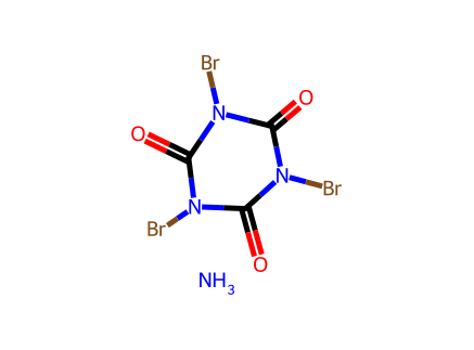 N.O=c1n(Br)c(=O)n(Br)c(=O)n1Br